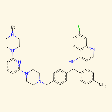 CCN1CCN(c2cccc(N3CCN(Cc4ccc(C(Nc5ccnc6cc(Cl)ccc56)c5ccc(C)cc5)cc4)CC3)n2)CC1